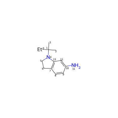 CCC(C)(C)N1CCc2ccc(N)cc21